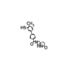 Cc1ccc(-c2ccc(C(=O)N3CC4(CCC(=O)N4)C3)cc2)cc1S